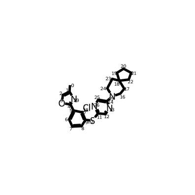 Cc1coc(-c2cccc(Sc3cnc(N4CCC5(CCCC5)CC4)cn3)c2Cl)n1